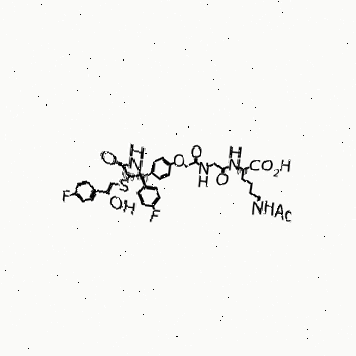 CC(=O)NCCCC[C@@H](NC(=O)CNC(=O)COc1ccc([C@]2(c3ccc(F)cc3)NC(=O)[C@@H]2SCC(O)c2ccc(F)cc2)cc1)C(=O)O